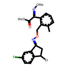 CCC1C/C(=N\OCc2c(C)cccc2/C(=N\OC)C(=O)OC)c2cc(F)ccc21